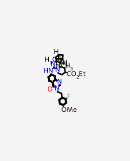 CCOC(=O)C1CCN(/C(=N\C2C[C@@H]3C[C@H]([C@@H]2C)C3(C)C)Nc2ccc3c(=O)n(CCc4ccc(OC)cc4F)cnc3c2)CC1